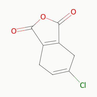 O=C1OC(=O)C2=C1CC=C(Cl)C2